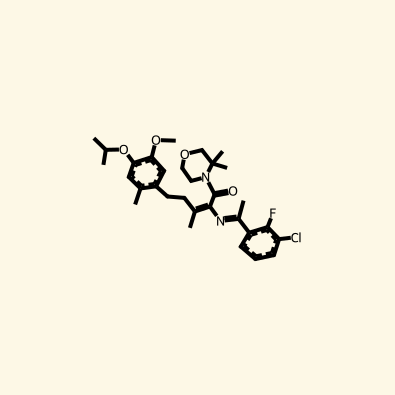 COc1cc(CC/C(C)=C(/N=C(\C)c2cccc(Cl)c2F)C(=O)N2CCOCC2(C)C)c(C)cc1OC(C)C